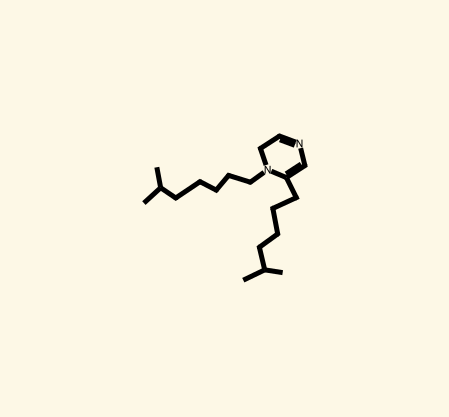 CC(C)CCCCCN1CC=NC=C1CCCCC(C)C